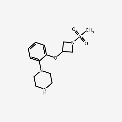 CS(=O)(=O)N1CC(Oc2ccccc2N2CCNCC2)C1